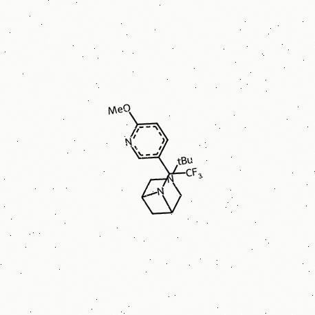 COc1ccc(C(N2C3CC2CN(C(C)(C)C)C3)C(F)(F)F)cn1